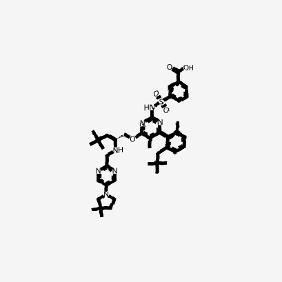 Cc1cccc(CC(C)(C)C)c1-c1nc(NS(=O)(=O)c2cccc(C(=O)O)c2)nc(OC[C@@H](CC(C)(C)C)NCc2ncc(N3CCC(C)(C)C3)cn2)c1C